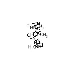 CNc1nc(Nc2cc(OC)c(C(=O)NC(C)(C)C)cc2Cl)ncc1Cl